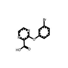 O=C(O)c1nccnc1Oc1cccc(Br)c1